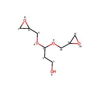 OCCC(OCC1CO1)OCC1CO1